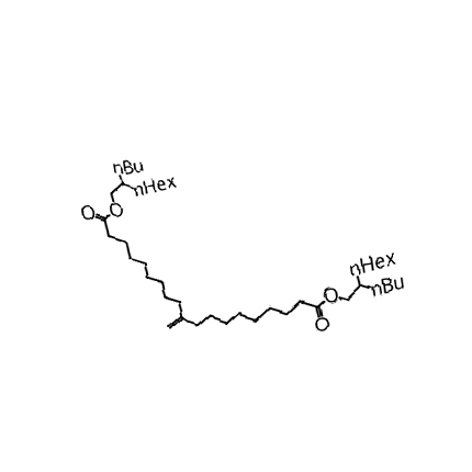 C=C(CCCCCCCCC(=O)OCC(CCCC)CCCCCC)CCCCCCCCC(=O)OCC(CCCC)CCCCCC